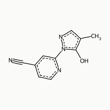 Cc1cnn(-c2cc(C#N)ccn2)c1O